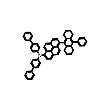 c1ccc(-c2ccc(N(c3ccc(-c4ccccc4)cc3)c3ccc4ccc5c(-c6c7c(c(-c8ccccc8)c8c6CCCC8)CCCC7)ccc6ccc3c4c65)cc2)cc1